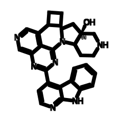 O[C@]12CCN(c3nc(-c4ccnc5[nH]c6ccccc6c45)nc4cncc(C5CCC5)c34)C1CCNC2